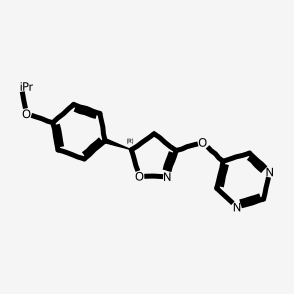 CC(C)Oc1ccc([C@H]2CC(Oc3cncnc3)=NO2)cc1